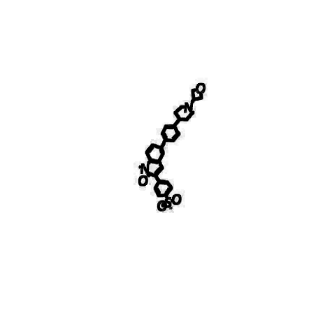 Cn1c(=O)c(-c2ccc(S(C)(=O)=O)cc2)cc2cc(-c3ccc(C4CCN(C5COC5)CC4)cc3)ccc21